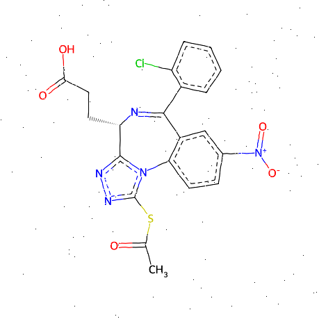 CC(=O)Sc1nnc2n1-c1ccc([N+](=O)[O-])cc1C(c1ccccc1Cl)=N[C@H]2CCC(=O)O